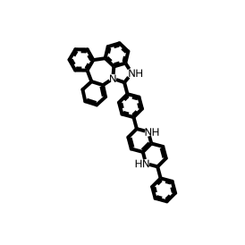 C1=CCC2C(=C1)N1c3c(cccc3-c3ccccc32)NC1c1ccc(C2C=CC3=C(C=CC(c4ccccc4)N3)N2)cc1